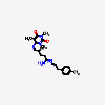 CCC(/C=N\c1c(C)c(=O)n(C)c(=O)n1C)CC/C(N)=N/C=C/Cc1ccc(C)cc1